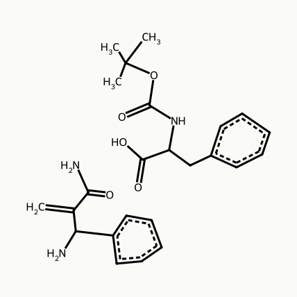 C=C(C(N)=O)C(N)c1ccccc1.CC(C)(C)OC(=O)NC(Cc1ccccc1)C(=O)O